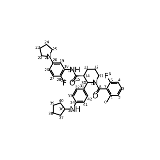 Cc1cccc(F)c1C(=O)N1CCC[C@H](C(=O)Nc2cc(N3CCCC3)ccc2F)C1c1ccc(NC2CCCC2)cc1